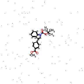 COC(=O)c1ccc(-c2cn(C(=O)OC(C)(C)C)c3ccccc23)cc1